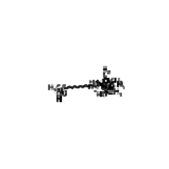 CCC(=O)O.CCCCCCCCCCCCSC(C)C(=O)O.Cc1cc(C(C)(C)C)c(O)c(C(C)(C)C)c1